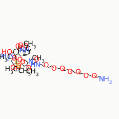 C/C=C\C#C[C@H](O[C@@H]1O[C@H](C)C[C@H](O)[C@H]1O[C@H]1C[C@H](OC)[C@@H](N(CC)CC(=O)NCCOCCOCCOCCOCCOCCOCCOCCN)CO1)C1=C(NC(=O)OC)C(=O)C[C@](N)(O)/C1=C/CSSC(C)C